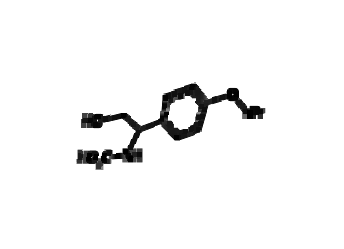 CCCOc1ccc(C(CO)NC(=O)O)cc1